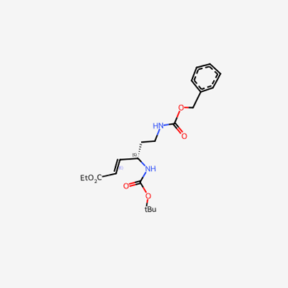 CCOC(=O)/C=C/[C@H](CCNC(=O)OCc1ccccc1)NC(=O)OC(C)(C)C